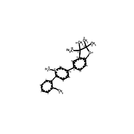 Cc1ccccc1-c1ccc(-c2ccc3c(c2)C(C)(C)C(C)(C)O3)c[n+]1C